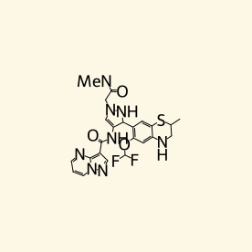 CNC(=O)CN1C=C(NC(=O)c2cnn3cccnc23)C(c2cc3c(cc2OC(F)F)NCC(C)S3)N1